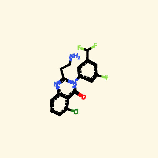 NCCc1nc2cccc(Cl)c2c(=O)n1-c1cc(F)cc(C(F)F)c1